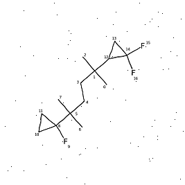 CC(C)(CCC(C)(C)C1(F)CC1)C1CC1(F)F